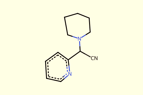 N#CC(c1ccccn1)N1CCCCC1